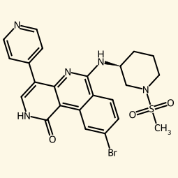 CS(=O)(=O)N1CCC[C@H](Nc2nc3c(-c4ccncc4)c[nH]c(=O)c3c3cc(Br)ccc23)C1